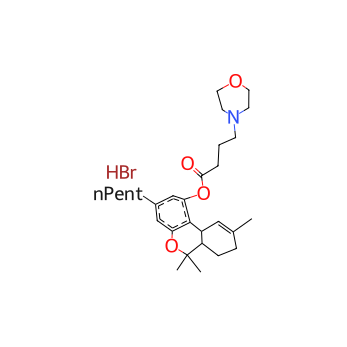 Br.CCCCCc1cc(OC(=O)CCCN2CCOCC2)c2c(c1)OC(C)(C)C1CCC(C)=CC21